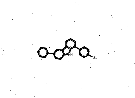 CC(C)(C)c1ccc(-c2cccc3c2[nH]c2ccc(-c4ccccc4)cc23)cc1